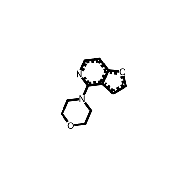 c1cc2occc2c(N2CCOCC2)n1